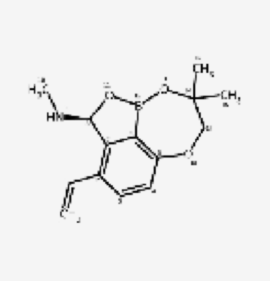 C=Cc1ccc2c3c1[C@@H](NC)OB3OC(C)(C)CO2